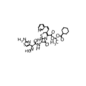 CC(OC(=O)C1=C(/C=C\c2cccnc2)CS[C@H]2[C@H](NC(=O)C(=NO)c3csc(N)n3)C(=O)N12)OC(=O)C1CCCCC1